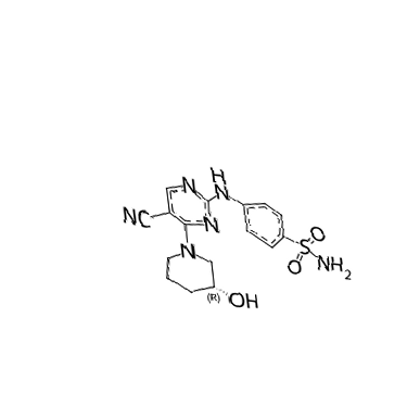 N#Cc1cnc(Nc2ccc(S(N)(=O)=O)cc2)nc1N1CCC[C@@H](O)C1